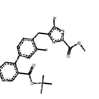 COC(=O)c1nc(Cc2ccc(-c3ccccc3C(=O)OC(C)(C)C)cc2F)c(Br)s1